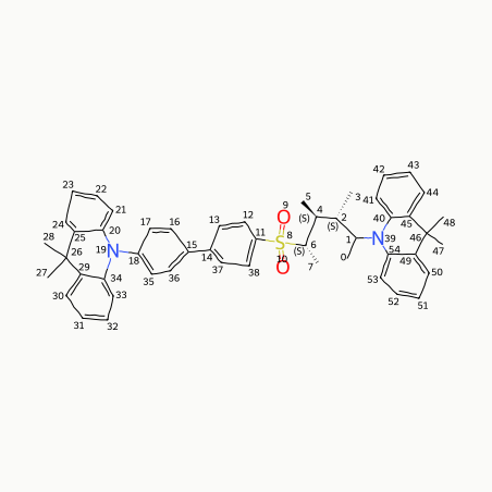 CC([C@@H](C)[C@H](C)[C@H](C)S(=O)(=O)c1ccc(-c2ccc(N3c4ccccc4C(C)(C)c4ccccc43)cc2)cc1)N1c2ccccc2C(C)(C)c2ccccc21